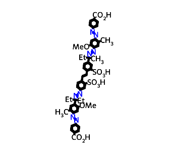 CCC(C)(N=Nc1cc(C)c(N=Nc2ccc(C(=O)O)cc2)cc1OC)c1ccc(C=Cc2ccc(N=NC(CC)(CC)c3cc(C)c(N=Nc4ccc(C(=O)O)cc4)cc3OC)cc2S(=O)(=O)O)c(S(=O)(=O)O)c1